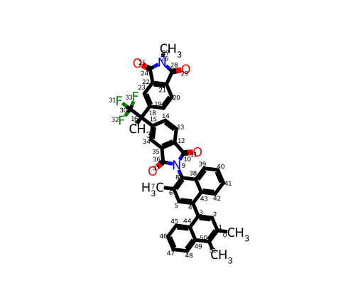 Cc1cc(-c2cc(C)c(N3C(=O)c4ccc(C(C)(c5ccc6c(c5)C(=O)N(C)C6=O)C(F)(F)F)cc4C3=O)c3ccccc23)c2ccccc2c1C